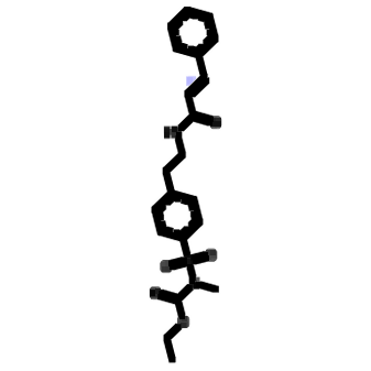 CCOC(=O)N(C)S(=O)(=O)c1ccc(CCNC(=O)/C=C/c2ccccc2)cc1